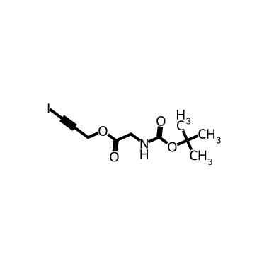 CC(C)(C)OC(=O)NCC(=O)OCC#CI